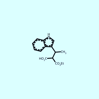 CCOC(=O)C(C(=O)O)C(C)c1c[nH]c2ccccc12